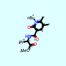 CCCCn1c(C)c(C)cc(C(=O)NC(C(=O)OC)C(C)C)c1=O